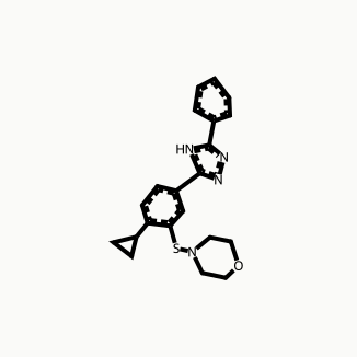 c1ccc(-c2nnc(-c3ccc(C4CC4)c(SN4CCOCC4)c3)[nH]2)cc1